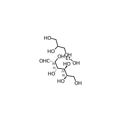 CCO.O=C[C@H](O)[C@@H](O)[C@@H](O)[C@H](O)CO.OCC(O)CO